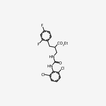 CCOC(=O)C(CNC(=O)Nc1c(Cl)cccc1Cl)Cc1ccc(F)cc1F